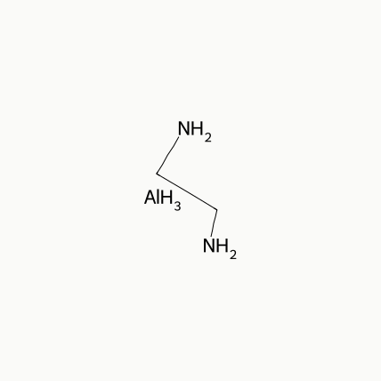 NCCN.[AlH3]